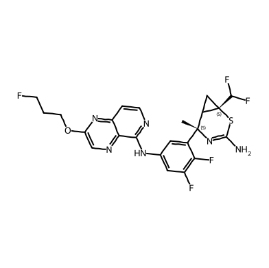 C[C@]1(c2cc(Nc3nccc4nc(OCCCF)cnc34)cc(F)c2F)N=C(N)S[C@@]2(C(F)F)CC21